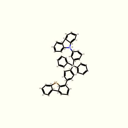 c1ccc([Si](c2ccccc2)(c2ccc(-c3cccc4c3sc3ccccc34)cc2)c2cccc(-n3c4ccccc4c4ccccc43)c2)cc1